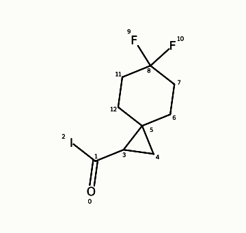 O=C(I)C1CC12CCC(F)(F)CC2